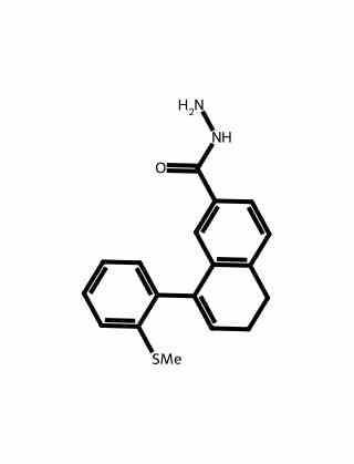 CSc1ccccc1C1=CCCc2ccc(C(=O)NN)cc21